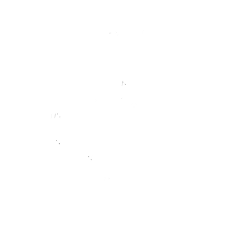 O=c1cc(-c2c[nH]c3ncc(N4CCOCC4)cc23)ccn1Cc1cccc(C(F)(F)F)c1